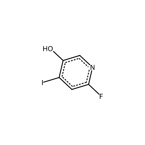 Oc1cnc(F)cc1I